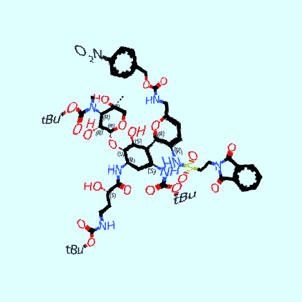 CN(C(=O)OC(C)(C)C)[C@@H]1[C@@H](O)[C@@H](O[C@H]2[C@H](NC(=O)[C@@H](O)CCNC(=O)OC(C)(C)C)C[C@H](NC(=O)OC(C)(C)C)C([C@H]3OC(CNC(=O)OCc4ccc([N+](=O)[O-])cc4)=CC[C@H]3NS(=O)(=O)CCN3C(=O)c4ccccc4C3=O)[C@@H]2O)OC[C@]1(C)O